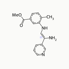 COC(=O)c1ccc(C)c(N/C=C(\N)c2cccnc2)c1